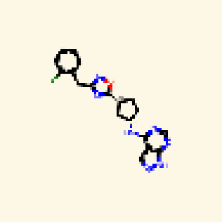 Fc1ccccc1Cc1noc([C@H]2CC[C@H](Nc3ncnc4[nH]ncc34)C2)n1